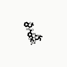 CCC1(CC)CC(=O)N([C@H]2c3cc(C(=O)N[C@H]4CC(C)(C)Oc5ccccc54)ccc3OC2(COC)COC)C(=N)N1